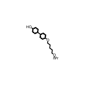 CCCOCCCCCOc1ccc(-c2ccc(O)cc2)cc1